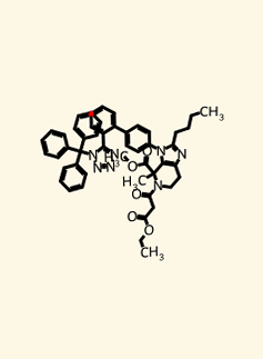 CCCCc1nc2c(n1-c1ccc(-c3ccccc3-c3nnnn3C(c3ccccc3)(c3ccccc3)c3ccccc3)cc1)C(C)(C(=O)OC)N(C(=O)CC(=O)OCC)CC2